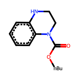 CCCCOC(=O)N1CCNc2ccccc21